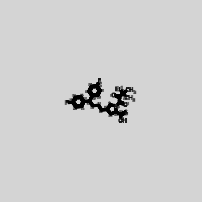 CCC(C)(C)C(=O)C(=O)N1CC(CCCC(c2ccc(F)cc2)c2ccc(F)cc2)CC1C(O)=S